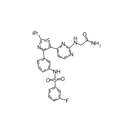 CC(C)c1nc(-c2cccc(NS(=O)(=O)c3cccc(F)c3)c2)c(-c2ccnc(NCC(N)=O)n2)s1